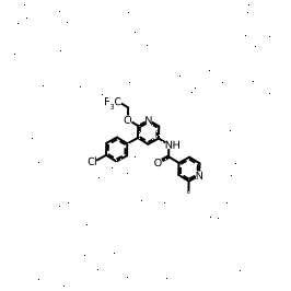 Cc1cc(C(=O)Nc2cnc(OCC(F)(F)F)c(-c3ccc(Cl)cc3)c2)ccn1